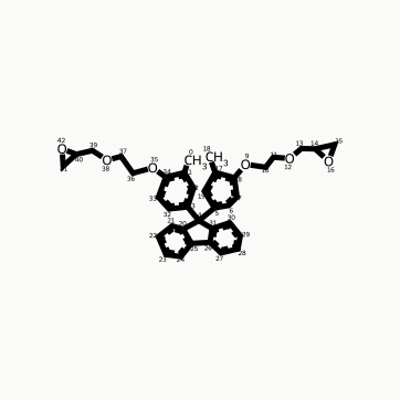 Cc1cc(C2(c3ccc(OCCOCC4CO4)c(C)c3)c3ccccc3-c3ccccc32)ccc1OCCOCC1CO1